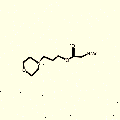 CNCC(=O)OCCCN1CCOCC1